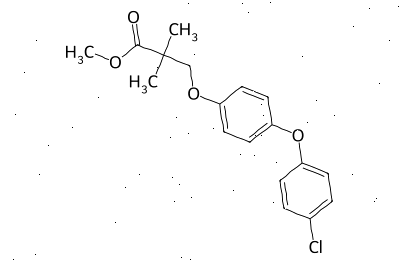 COC(=O)C(C)(C)COc1ccc(Oc2ccc(Cl)cc2)cc1